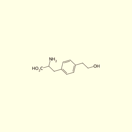 NC(Cc1ccc(CCO)cc1)C(=O)O